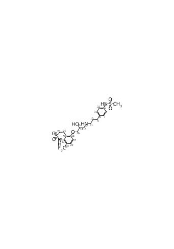 CS(=O)(=O)Nc1ccc(CCCNCC(O)COc2ccc(C(F)(F)F)c3c2CCS(=O)(=O)N3)cc1